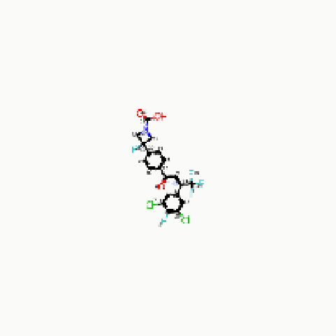 O=C(/C=C(\c1cc(Cl)c(F)c(Cl)c1)C(F)(F)F)c1ccc(C2(F)CN(C(=O)O)C2)cc1